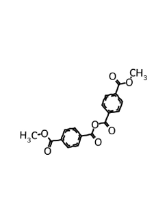 COC(=O)c1ccc(C(=O)OC(=O)c2ccc(C(=O)OC)cc2)cc1